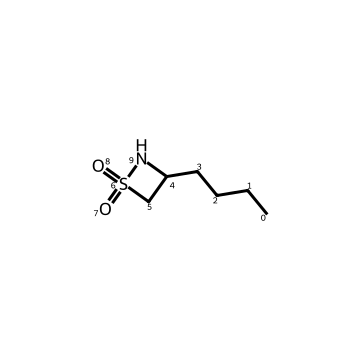 CCCCC1CS(=O)(=O)N1